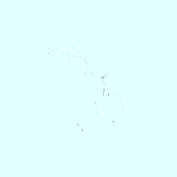 CCC(F)(F)COC(=O)N1CCC(C(C)C)C(C#N)C1